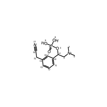 CN(C)CC(OP(=O)(O)O)c1cccc(CC#N)c1